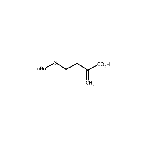 C=C(CCSCCCC)C(=O)O